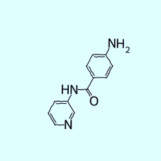 Nc1ccc(C(=O)Nc2cccnc2)cc1